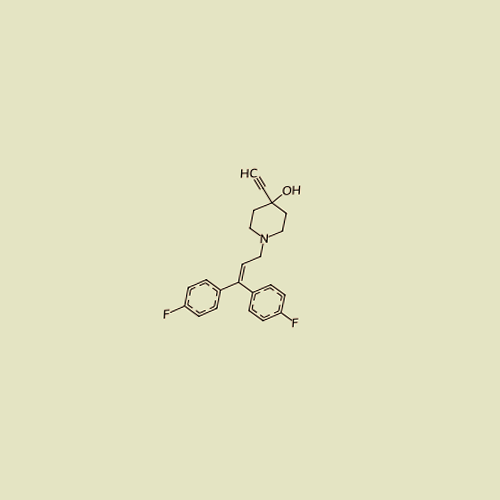 C#CC1(O)CCN(CC=C(c2ccc(F)cc2)c2ccc(F)cc2)CC1